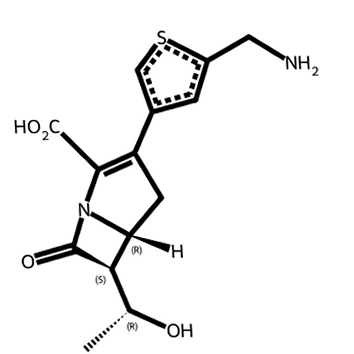 C[C@@H](O)[C@H]1C(=O)N2C(C(=O)O)=C(c3csc(CN)c3)C[C@H]12